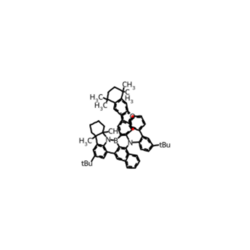 CC(C)(C)c1ccc(N2c3cc4oc5cc6c(cc5c4cc3B3c4c(cc5ccccc5c42)-c2cc(C(C)(C)C)cc4c2N3C2(C)CCCCC42C)C(C)(C)CCC6(C)C)c(-c2ccccc2)c1